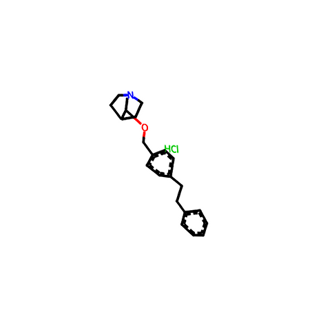 Cl.c1ccc(CCc2ccc(COC3CN4CCC3CC4)cc2)cc1